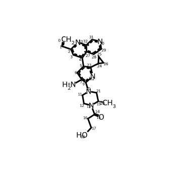 C=Cc1cc(-c2cc(N)c(N3CCN(C(=O)CCO)[C@H](C)C3)nc2C2CC2)c2ccncc2n1